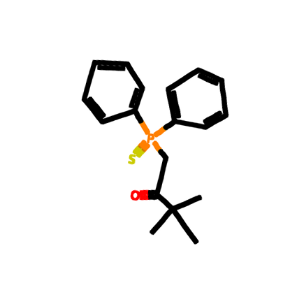 CC(C)(C)C(=O)CP(=S)(c1ccccc1)c1ccccc1